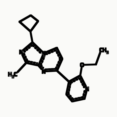 CCOc1ncccc1-c1ccn2c(C3CCC3)nc(C)c2n1